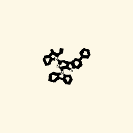 C=Cc1c(C)c2ccccc2n1-c1cc2c(sc3ccc(-c4ccccc4)cc32)c(-n2c3ccccc3c3ccccc32)n1